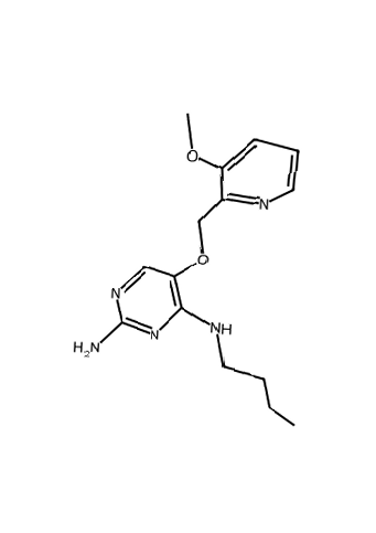 CCCCNc1nc(N)ncc1OCc1ncccc1OC